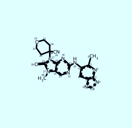 Cc1nc2nsnc2cc1Nc1ncc2c(n1)n(C1(C#N)CCOCC1)c(=O)n2C